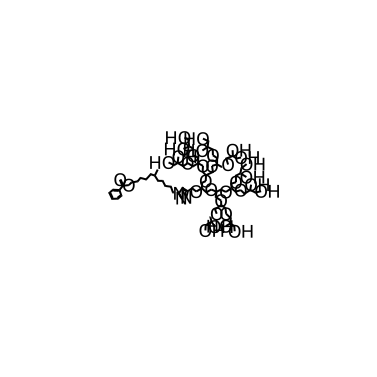 CC(CCCCCOC(=O)c1ccccc1)CCCCCn1cc(COC(COC(COC(COCC(O)CO)COCC(O)CO)COC(COCC(O)CO)COCC(O)CO)COC(COC(COCC(O)CO)COCC(O)CO)COC(COCC(O)CO)COCC(O)CO)nn1